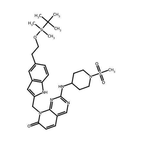 CC(C)(C)[Si](C)(C)OCCc1ccc2[nH]c(Cn3c(=O)ccc4cnc(NC5CCN(S(C)(=O)=O)CC5)nc43)cc2c1